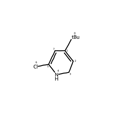 CC(C)(C)C1=CCNC(Cl)=C1